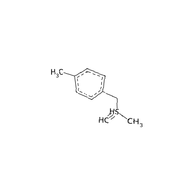 C#[SH](C)Cc1ccc(C)cc1